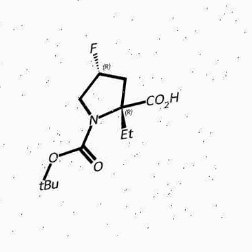 CC[C@]1(C(=O)O)C[C@@H](F)CN1C(=O)OC(C)(C)C